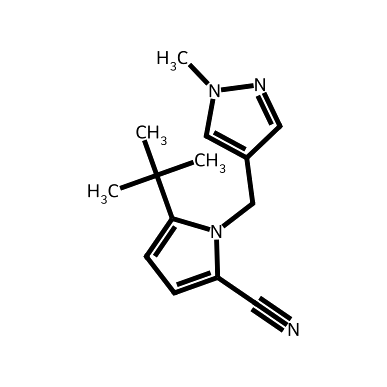 Cn1cc(Cn2c(C#N)ccc2C(C)(C)C)cn1